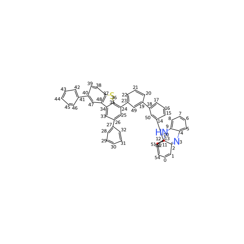 C1=CC2=Nc3ccccc3NC23C=C(c2cccc(-c4cccc(-c5cc(-c6ccccc6)cc6c5sc5ccc(-c7ccccc7)cc56)c4)c2)C=CC3=C1